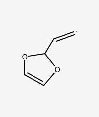 [CH]=CC1OC=CO1